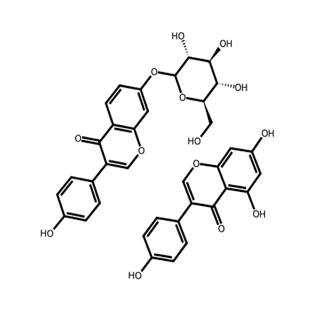 O=c1c(-c2ccc(O)cc2)coc2cc(O)cc(O)c12.O=c1c(-c2ccc(O)cc2)coc2cc(OC3O[C@H](CO)[C@@H](O)[C@H](O)[C@H]3O)ccc12